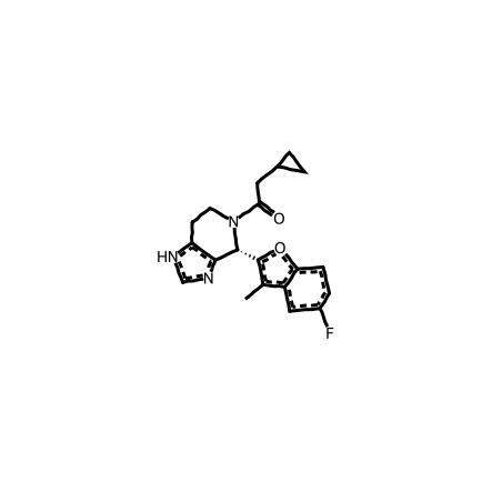 Cc1c([C@@H]2c3nc[nH]c3CCN2C(=O)CC2CC2)oc2ccc(F)cc12